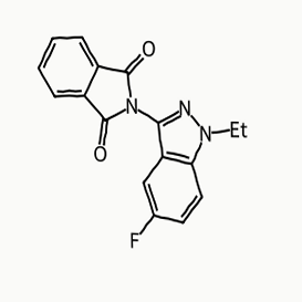 CCn1nc(N2C(=O)c3ccccc3C2=O)c2cc(F)ccc21